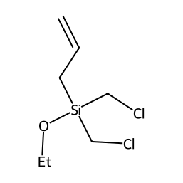 C=CC[Si](CCl)(CCl)OCC